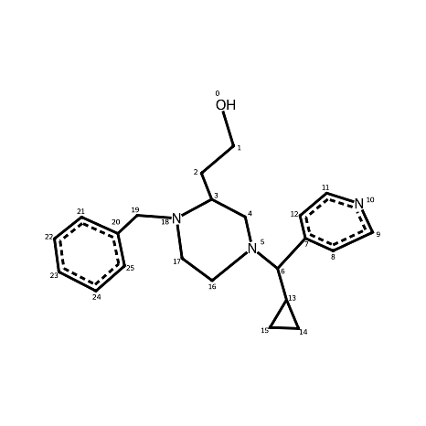 OCCC1CN(C(c2ccncc2)C2CC2)CCN1Cc1ccccc1